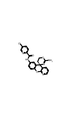 NC1=N[C@@]2(CCO1)c1cc(NC(=O)c3ccc(Cl)cn3)ccc1Oc1ncccc12